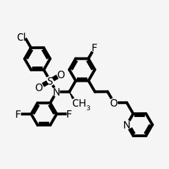 C[C@H](c1ccc(F)cc1CCOCc1ccccn1)N(c1cc(F)ccc1F)S(=O)(=O)c1ccc(Cl)cc1